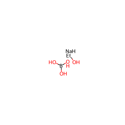 CCO.OB(O)O.[NaH]